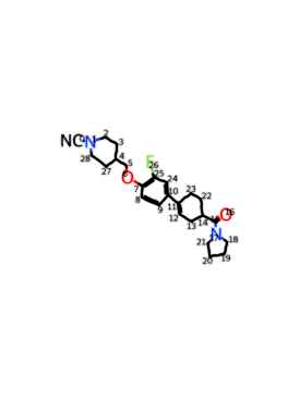 N#CN1CCC(COc2ccc(C3=CCC(C(=O)N4CCCC4)CC3)cc2F)CC1